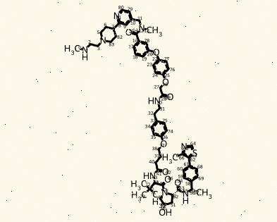 CNCCN1CCC(c2cc(CN(C)C(=O)c3cccc(Oc4ccc(OCC(=O)NCCc5ccc(OCCCC(=O)N[C@H](C(=O)N6C[C@H](O)C[C@H]6C(=O)N[C@@H](C)c6ccc(-c7scnc7C)cc6)C(C)(C)C)cc5)cc4)c3)ccn2)CC1